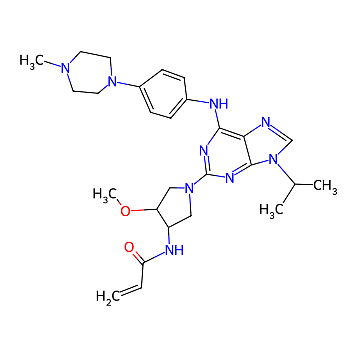 C=CC(=O)NC1CN(c2nc(Nc3ccc(N4CCN(C)CC4)cc3)c3ncn(C(C)C)c3n2)CC1OC